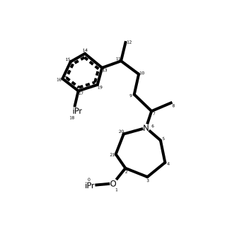 CC(C)OC1CCCN(C(C)CCC(C)c2cccc(C(C)C)c2)CC1